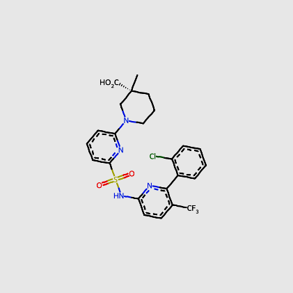 C[C@@]1(C(=O)O)CCCN(c2cccc(S(=O)(=O)Nc3ccc(C(F)(F)F)c(-c4ccccc4Cl)n3)n2)C1